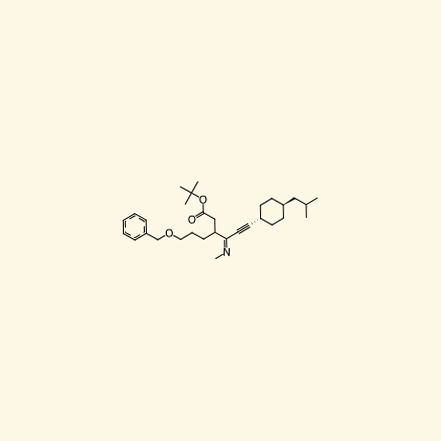 CN=C(C#C[C@H]1CC[C@H](CC(C)C)CC1)C(CCCOCc1ccccc1)CC(=O)OC(C)(C)C